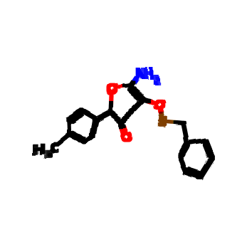 Cc1ccc(C2OC(N)=C(OSCc3ccccc3)C2=O)cc1